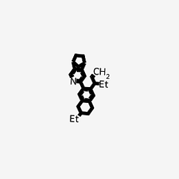 C=CC(CC)c1cc2c(cc1-c1cc3c(cn1)C1CCC3C1)CC(CC)CC2